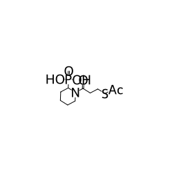 CC(=O)SCCC(=O)N1CCCCC1P(=O)(O)O